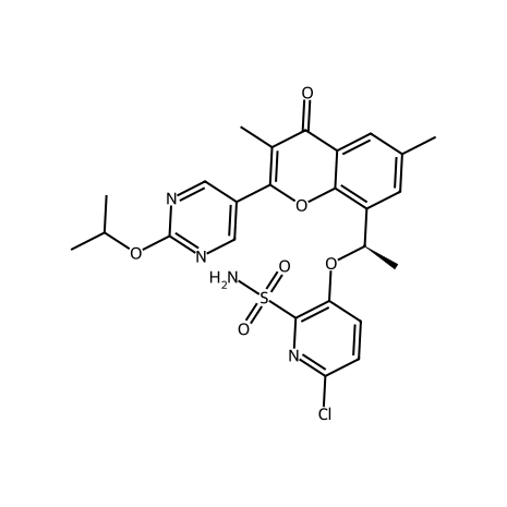 Cc1cc([C@@H](C)Oc2ccc(Cl)nc2S(N)(=O)=O)c2oc(-c3cnc(OC(C)C)nc3)c(C)c(=O)c2c1